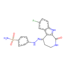 NS(=O)(=O)c1ccc(N/N=C2\CCNC(=O)c3[nH]c4ccc(F)cc4c32)cc1